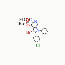 CCOC(=O)c1ncc2c(c(Br)c(-c3ccc(Cl)cc3)n2-c2ccccc2)c1OC(=O)C(C)(C)C